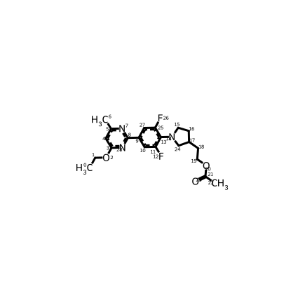 CCOc1cc(C)nc(-c2cc(F)c(N3CCC(CCOC(C)=O)C3)c(F)c2)n1